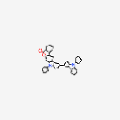 O=c1oc2cc3c(cc2c2ccccc12)c1cc(-c2ccc4c(c2)c2ccccc2n4-c2ccccc2)ccc1n3-c1ccccc1